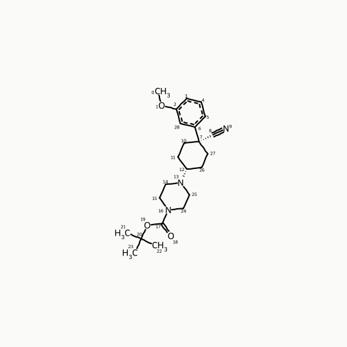 COc1cccc([C@]2(C#N)CC[C@@H](N3CCN(C(=O)OC(C)(C)C)CC3)CC2)c1